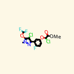 COC(=O)C(Cl)Oc1ccc(F)c(-c2nn(C)c(OC(F)F)c2Cl)c1